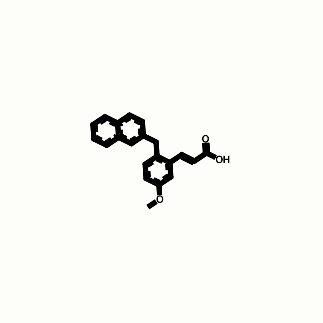 COc1ccc(Cc2ccc3ccccc3c2)c(C=CC(=O)O)c1